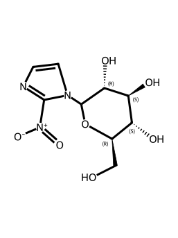 O=[N+]([O-])c1nccn1C1O[C@H](CO)[C@@H](O)[C@H](O)[C@H]1O